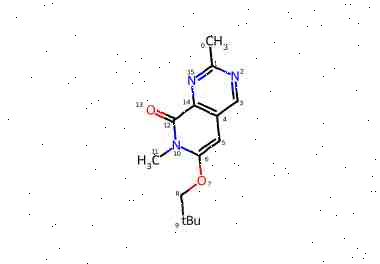 Cc1ncc2cc(OCC(C)(C)C)n(C)c(=O)c2n1